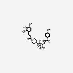 COc1ccc(C(=O)NCC(NC(=O)C2CCN(C(=O)C=Cc3ccc(SC)c(Cl)c3Cl)CC2)C(=O)O)cc1